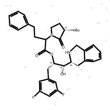 CCCC[C@H]1CCN(C(CCc2ccccc2)C(=O)O[C@@H](Cc2cc(F)cc(F)c2)[C@@H](O)[C@H]2Cc3ccccc3CN2)C1=O